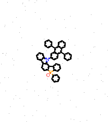 O=P1(c2ccccc2)c2ccccc2-c2c1ccc1c3ccccc3n(-c3ccc4c(-c5ccccc5)c5ccccc5c(-c5ccccc5)c4c3)c21